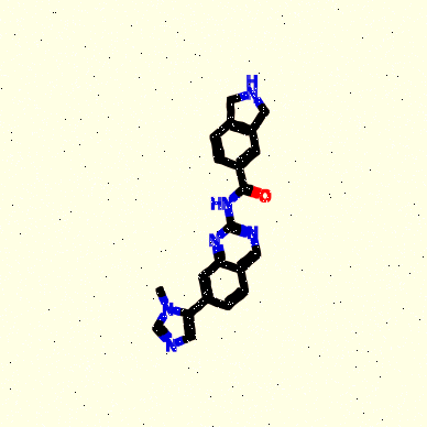 Cn1cncc1-c1ccc2cnc(NC(=O)c3ccc4c(c3)CNC4)nc2c1